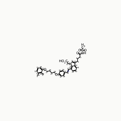 CS(=O)(=O)NC(=O)CCCc1cn(CC(=O)O)c2c(/C=C/c3ccc(OCCCCOc4cccc(F)c4F)cc3)cccc12